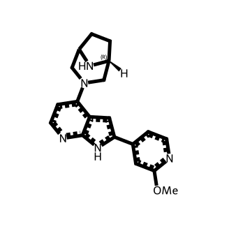 COc1cc(-c2cc3c(N4CC5CC[C@H](C4)N5)ccnc3[nH]2)ccn1